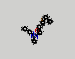 C1=CCC(c2ccc(-c3nc(-c4ccccc4)nc(-c4cccc5c4oc4ccc(-c6ccc7c(c6)sc6cccc(-c8ccccc8)c67)cc45)n3)cc2)C=C1